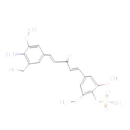 COc1cc(/C=C/C(=O)/C=C/c2cc(OC)c(OS(N)(=O)=O)c(OC)c2)cc(CO)c1N